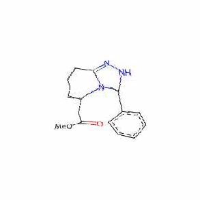 COC(=O)C1CCCC2=NNC(c3ccccc3)N21